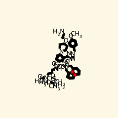 COc1ccc(Cn2nnc(-c3c(N4CCC(OCCN)CC4)ccc(S(=O)(=O)NCC(CNC(=O)O)O[Si](C)(C)C(C)(C)C)c3S(=O)(=O)N(Cc3ccccc3)Cc3ccccc3)n2)cc1